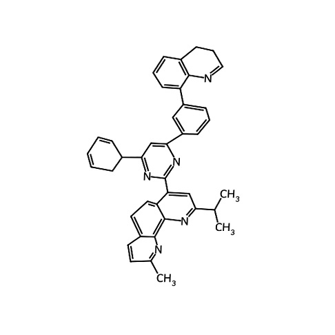 Cc1ccc2ccc3c(-c4nc(-c5cccc(-c6cccc7c6N=CCC7)c5)cc(C5C=CC=CC5)n4)cc(C(C)C)nc3c2n1